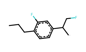 [CH2]C(CF)c1ccc(CCC)c(F)c1